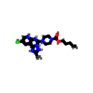 CCCCOC(=O)N1CCN(c2nc3ncc(Cl)cc3c3nc(C)nn23)CC1